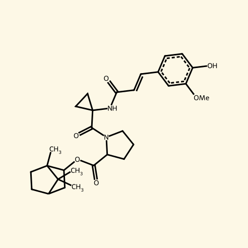 COc1cc(/C=C/C(=O)NC2(C(=O)N3CCCC3C(=O)OC3CC4CCC3(C)C4(C)C)CC2)ccc1O